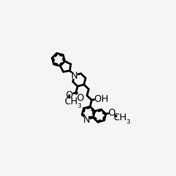 COC(=O)C1CN(C2Cc3ccccc3C2)CCC1CCC(O)c1ccnc2ccc(OC)cc12